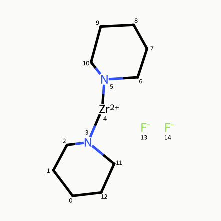 C1CC[N]([Zr+2][N]2CCCCC2)CC1.[F-].[F-]